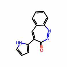 O=c1nnc2ccccc2cc1-c1ccc[nH]1